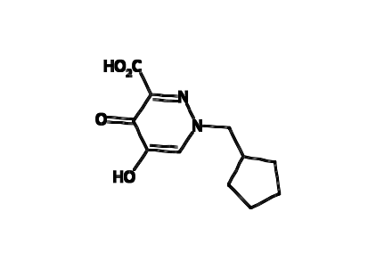 O=C(O)c1nn(CC2CCCC2)cc(O)c1=O